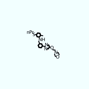 CCCSc1ccc(C)c(NCc2cccc(-c3ncc(OCCN4CCOCC4)cn3)c2)c1